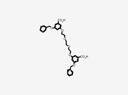 O=C(O)c1cc(OCCOCCOCCOc2cc(OCc3ccccc3)cc(C(=O)O)c2)cc(OCc2ccccc2)c1